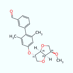 CO[C@@H]1CO[C@H]2[C@@H]1OC[C@@H]2Oc1cc(C)c(-c2cccc(C=O)c2)c(C)c1